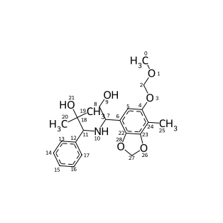 COCOc1cc(C(CO)NC(c2ccccc2)C(C)(C)O)c2c(c1C)OCO2